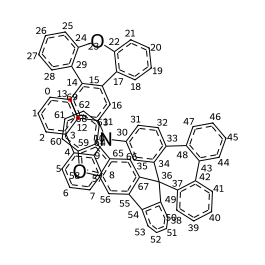 c1ccc(-c2ccccc2N(c2ccc3c(c2)-c2ccccc2Oc2ccccc2-3)c2ccc3c(c2)C2(c4ccccc4-c4ccccc4-3)c3ccccc3-c3cc4oc5ccccc5c4cc32)cc1